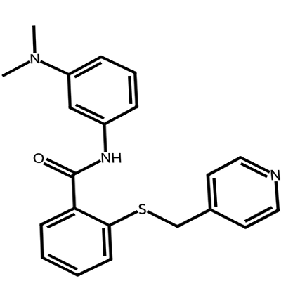 CN(C)c1cccc(NC(=O)c2ccccc2SCc2ccncc2)c1